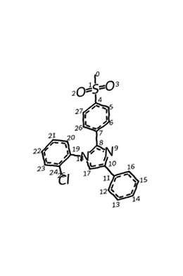 CS(=O)(=O)c1ccc(-c2nc(-c3ccccc3)cn2-c2ccccc2Cl)cc1